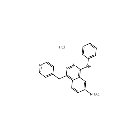 CC(=O)Nc1ccc2c(Cc3ccncc3)nnc(Nc3ccccc3)c2c1.Cl